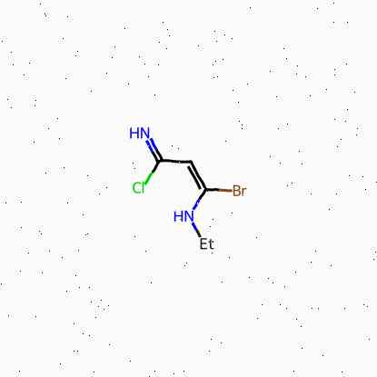 CCN/C(Br)=C\C(=N)Cl